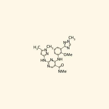 CNC(=O)c1cnc(Nc2cc(C)n(C)n2)nc1Nc1cccc(-c2ncn(C)n2)c1OC